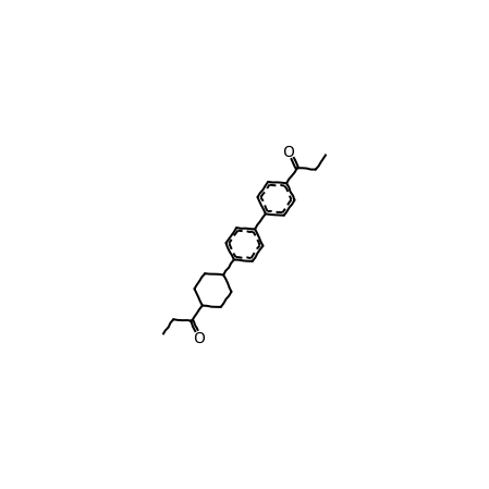 CCC(=O)c1ccc(-c2ccc(C3CCC(C(=O)CC)CC3)cc2)cc1